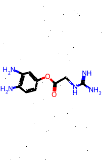 N=C(N)NCC(=O)Oc1ccc(N)c(N)c1